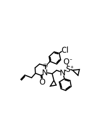 C=CCC1CC[C@@H](c2ccc(Cl)cc2)N(C(CN(c2ccccc2)[S+]([O-])C2CC2)C2CC2)C1=O